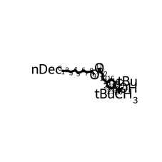 CCCCCCCCCCCCCCCCCCOC(=O)CCc1cc(C(C)(C)C)c(C(C)O)c(C(C)(C)C)c1